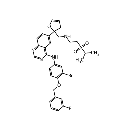 CC(C)S(=O)(=O)CCNCC1(c2ccc3ncnc(Nc4ccc(OCc5cccc(F)c5)c(Br)c4)c3c2)CC=CO1